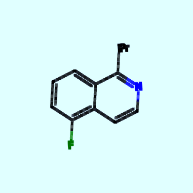 CC(C)c1nccc2c(F)cccc12